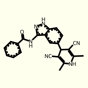 CC1=C(C#N)C(c2ccc3[nH]nc(NC(=O)c4ccccc4)c3c2)C(C#N)=C(C)N1